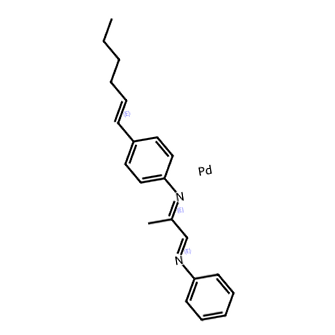 CCCC/C=C/c1ccc(/N=C(C)/C=N/c2ccccc2)cc1.[Pd]